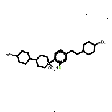 CCCCC1CCC(CCc2ccc(C3(C(=O)O)CCC(C4CCC(CCC)CC4)CC3)c(F)c2)CC1